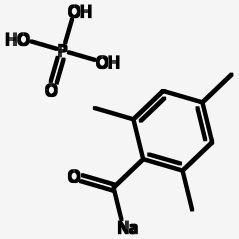 Cc1cc(C)c([C](=O)[Na])c(C)c1.O=P(O)(O)O